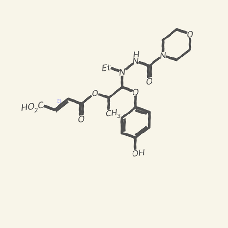 CCN(NC(=O)N1CCOCC1)C(Oc1ccc(O)cc1)C(C)OC(=O)/C=C/C(=O)O